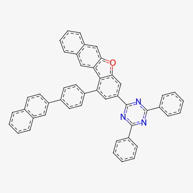 c1ccc(-c2nc(-c3ccccc3)nc(-c3cc(-c4ccc(-c5ccc6ccccc6c5)cc4)c4c(c3)oc3cc5ccccc5cc34)n2)cc1